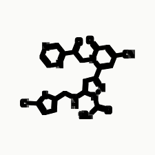 CC(C)(C)C(=O)n1nc(-c2cc(C#N)cc(=O)n2CC(=O)c2cnccn2)cc1NCc1ccc(Cl)s1